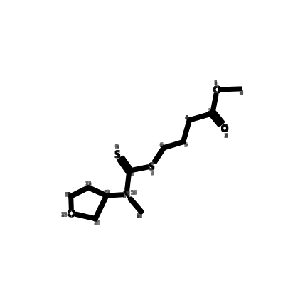 COC(=O)CCCSC(=S)N(C)C1CCOC1